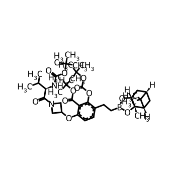 CC(C)[C@@H](NC(=O)OC(C)(C)C)C(=O)N1CC(Oc2ccc(CCB3O[C@@H]4C[C@@H]5C[C@@H](C5(C)C)[C@]4(C)O3)c(OC(=O)OC(C)(C)C)c2C(=O)OC(C)(C)C)C1